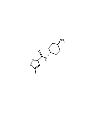 Cc1cc(C(=O)N[C@H]2CC[C@H](N)CC2)no1